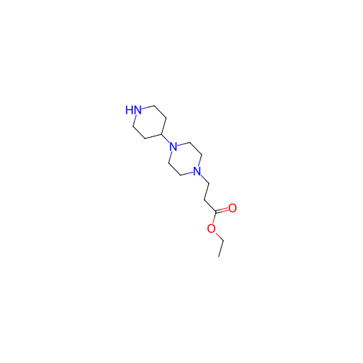 CCOC(=O)CCN1CCN(C2CCNCC2)CC1